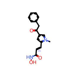 Cn1cc(C(=O)Cc2ccccc2)cc1/C=C/C(=O)NO